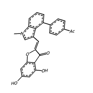 CC(=O)c1ccc(-c2cccc3c2c(C=C2Oc4cc(O)cc(O)c4C2=O)cn3C)cc1